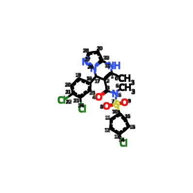 CC1=C(C(=O)N(C)S(=O)(=O)c2ccc(Cl)cc2)C(c2ccc(Cl)c(Cl)c2)n2nccc2N1